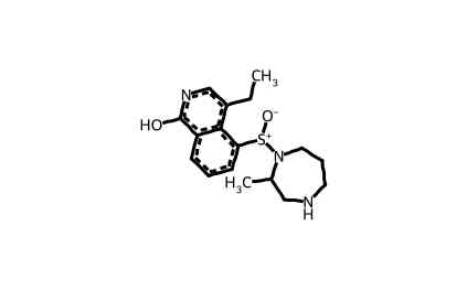 CCc1cnc(O)c2cccc([S+]([O-])N3CCCNCC3C)c12